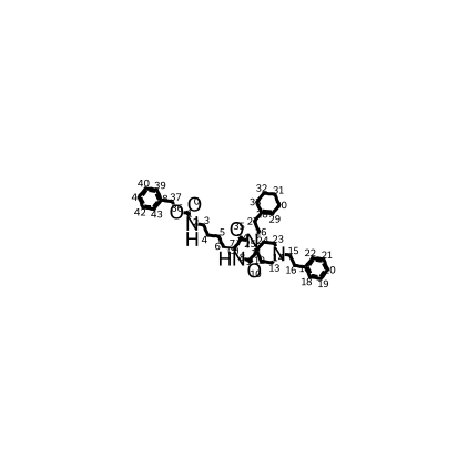 O=C(NCCCC[C@@H]1NC(=O)C2(CCN(CCc3ccccc3)CC2)N(CCC2=CCCCC2)C1=O)OCc1ccccc1